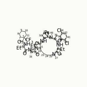 CC[C@H](NC(=O)C1(C(F)(F)F)CCCCC1)C(=O)N[C@@H](C)C(=O)N(CC)[C@H]1CCCCN(C)C(=O)[C@@H](CC)NC(=O)[C@H](Cc2cc(Cl)ccc2Cl)N(C)C(=O)[C@H](CC(C)C)NC1=O